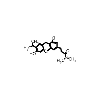 CC(C)c1cc(Cc2c(Cl)cc(CCC(=O)N(C)C)cc2Cl)ccc1O